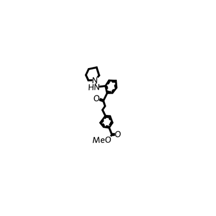 COC(=O)c1ccc(CCC(=O)c2ccccc2NN2CCCCC2)cc1